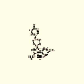 Cc1ccc(-c2ccc(C(F)(F)[C@](O)(CN)c3ccc(F)cc3F)nc2)cc1